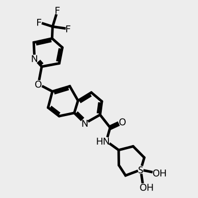 O=C(NC1CCS(O)(O)CC1)c1ccc2cc(Oc3ccc(C(F)(F)F)cn3)ccc2n1